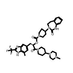 Cc1cc(C[C@@H](OC(=O)N2CCC(N3CCc4ccccc4NC3=O)CC2)C(=O)N2CCC(N3CCN(C)CC3)CC2)cc2nc(C(F)(F)F)[nH]c12